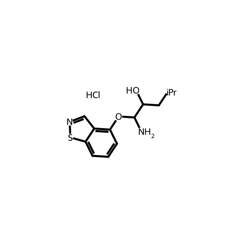 CC(C)CC(O)C(N)Oc1cccc2sncc12.Cl